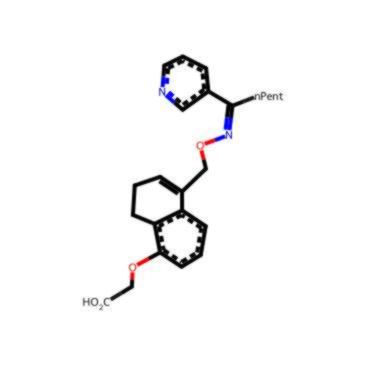 CCCCCC(=NOCC1=CCCc2c(OCC(=O)O)cccc21)c1cccnc1